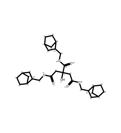 O=C(CC(O)(CC(=O)OCC1CC2CCC1C2)C(=O)OCC1CC2CCC1C2)OCC1CC2CCC1C2